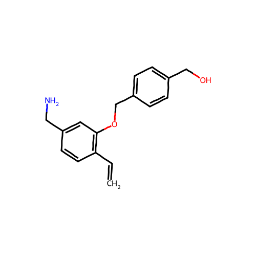 C=Cc1ccc(CN)cc1OCc1ccc(CO)cc1